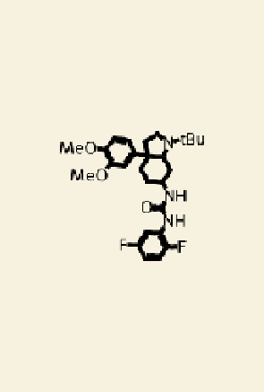 COc1ccc(C23CCC(NC(=O)Nc4cc(F)ccc4F)CC2N(C(C)(C)C)CC3)cc1OC